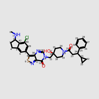 CNC1CCc2cc(-c3snc4c(=O)n(CC5(O)CCN(C(=O)CC(c6ccccc6)C6CC6)CC5)cnc34)cc(Cl)c21